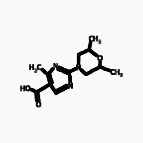 Cc1nc(N2CC(C)OC(C)C2)ncc1C(=O)O